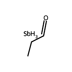 CCC=O.[SbH3]